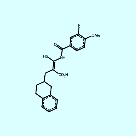 COc1ccc(C(=O)N/C(S)=C(/CC2CCc3ccccc3C2)C(=O)O)cc1F